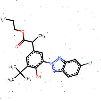 CCCOC(=O)C(C)c1cc(-n2nc3ccc(Cl)cc3n2)c(O)c(C(C)(C)C)c1